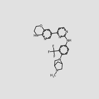 CN1CC2CC1CN2c1ccc(Nc2nccc(-c3cnc4c(c3)OCCN4)n2)cc1C(F)(F)F